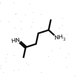 CC(=N)CCC(C)N